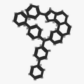 C1=CC2CC=c3nc(-c4ccccc4)sc3=C2c2cc(N(c3ccc(-c4ccccc4)cc3)c3ccc(-c4ccccc4)cc3)ccc21